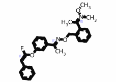 CO/[N+](C)=C(\C)c1ccccc1CO/N=C(\C)c1cccc(O/C(F)=C\c2ccccc2)c1